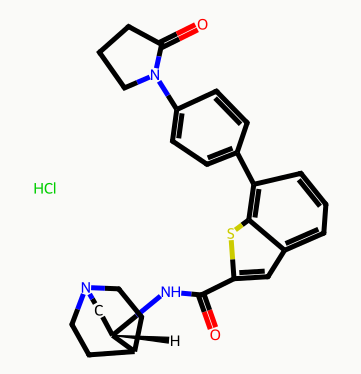 Cl.O=C(N[C@H]1CN2CCC1CC2)c1cc2cccc(-c3ccc(N4CCCC4=O)cc3)c2s1